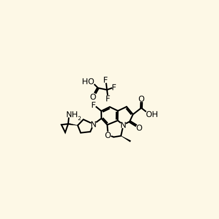 C[C@H]1COc2c(N3CC[C@@H](C4(N)CC4)C3)c(F)cc3cc(C(=O)O)c(=O)n1c23.O=C(O)C(F)(F)F